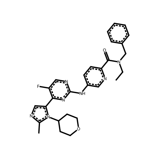 CCN(Cc1ccccc1)C(=O)c1ccc(Nc2ncc(F)c(-c3cnc(C)n3C3CCOCC3)n2)cn1